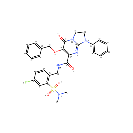 CN(C)S(=O)(=O)c1cc(F)ccc1CNC(=O)c1nc2n(c(=O)c1OCc1ccccc1)CCN2c1ccccc1